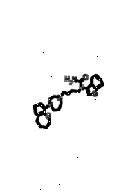 NC(=O)N(CCCCN1CCCN(c2cccc3c2OCCCC3)CC1)c1coc2ccccc12